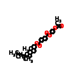 CCC1(COc2ccc(OC(=O)c3ccc4cc(C(=O)OC5CCC6(C)C(=CCC7C6CCC6(C)C(C(C)CCCC(C)C)CCC76)C5)ccc4c3)cc2)COC1